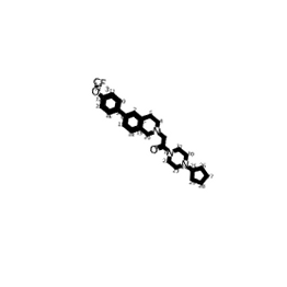 O=C(CN1CCc2cc(-c3ccc(OC(F)(F)F)cc3)ccc2C1)N1CCN(C2CCCC2)CC1